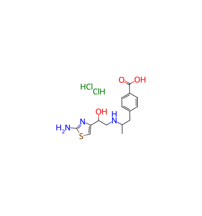 CC(Cc1ccc(C(=O)O)cc1)NCC(O)c1csc(N)n1.Cl.Cl